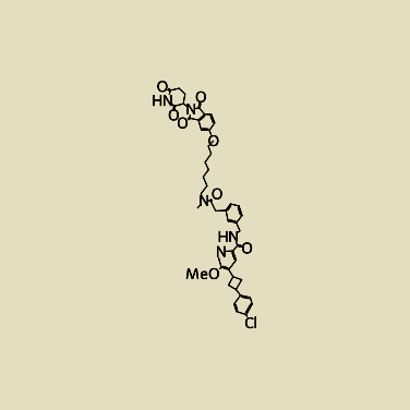 COc1cnc(C(=O)NCc2cccc(CC(=O)N(C)CCCCCCCOc3ccc4c(c3)C(=O)N(C3CCC(=O)NC3=O)C4=O)c2)cc1C1CC(c2ccc(Cl)cc2)C1